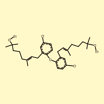 CCOC(C)(C)CCC/C(C)=C/Cc1cc(Cl)ccc1Oc1ccc(Cl)cc1C/C=C(\C)CCCC(C)(C)OCC